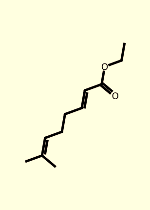 CCOC(=O)C=CCCC=C(C)C